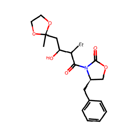 CCC(C(=O)N1C(=O)OC[C@H]1Cc1ccccc1)C(O)CC1(C)OCCO1